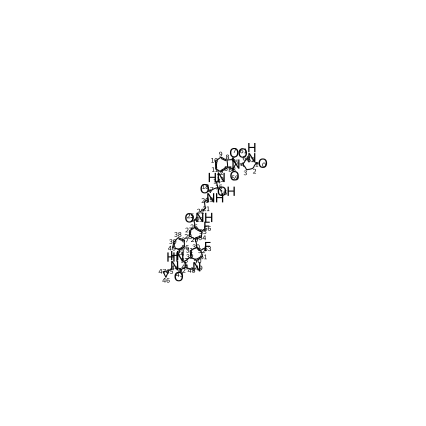 O=C1CCC(N2C(=O)c3cccc(NCC(O)C(=O)NCCCNC(=O)c4ccc(-c5cc6c(Nc7ccccc7)c(C(=O)NC7CC7)cnc6cc5F)cc4F)c3C2=O)C(=O)N1